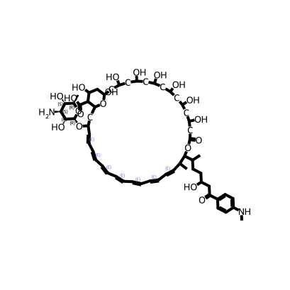 CNc1ccc(C(=O)CC(O)CCC(C)C2OC(=O)CC(O)CC(O)CC(O)CC(O)CC(O)CC(O)CC3(O)CC(O)C(C(=O)O)C(CC(O[C@@H]4O[C@H](C)[C@@H](O)[C@H](N)[C@H]4O)/C=C/C=C/C=C/C=C/C=C/C=C/C=C/C2C)O3)cc1